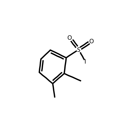 Cc1cccc(S(=O)(=O)I)c1C